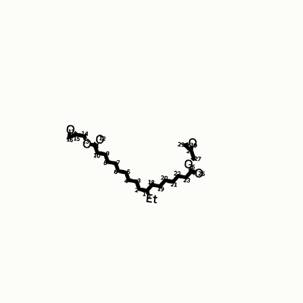 CCC(CCCCCCCCCC(=O)OCC1CO1)CCCCCCC(=O)OCC1CO1